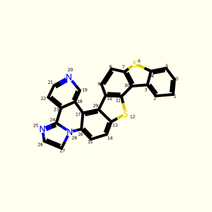 c1ccc2c(c1)sc1ccc3c(sc4ccc5c(c6cnccc6c6nccn56)c43)c12